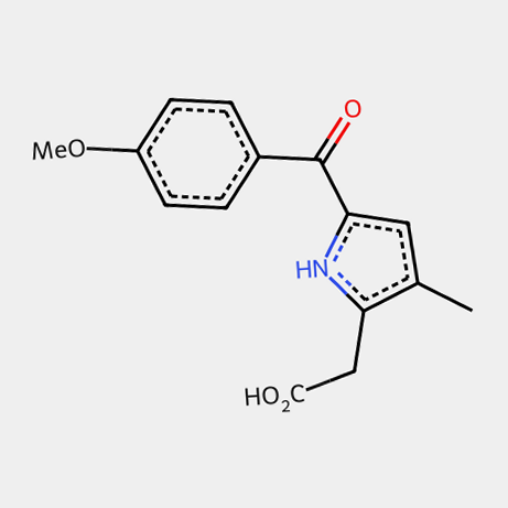 COc1ccc(C(=O)c2cc(C)c(CC(=O)O)[nH]2)cc1